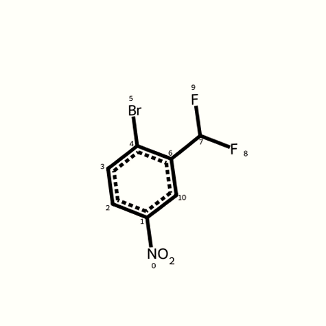 O=[N+]([O-])c1ccc(Br)c(C(F)F)c1